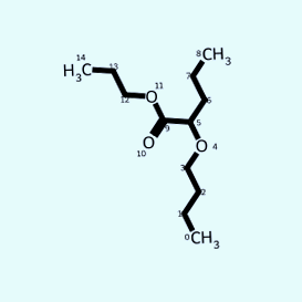 CCCCOC(CCC)C(=O)OCCC